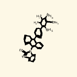 Bc1c(B)c(B)c(-c2ccc(-c3c4ccccc4c(-n4c(CC)nc5ccccc54)c4ccccc34)cc2)c(B)c1B